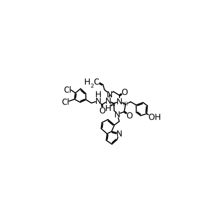 C=CCN1CC(=O)N2[C@@H](Cc3ccc(O)cc3)C(=O)N(Cc3cccc4cccnc34)C[C@@H]2N1C(=O)NCc1ccc(Cl)c(Cl)c1